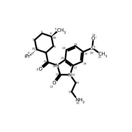 CC(C)[C@@H]1CC[C@@H](C)CC1C(=O)n1c(=O)n(CCN)c2cc([S+](C)[O-])ccc21